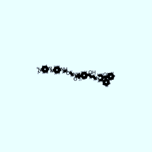 CN(C)c1ccc(/N=N/c2ccc(NCCOCCNC(=O)C(C)(C)c3ccc(C(O)CCCN4CCC(C(O)(c5ccccc5)c5ccccc5)CC4)cc3)cc2)cc1